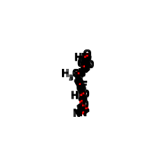 C[C@H]1CN(c2ccc3c(c2)C(=O)N(C2CCC(=O)NC2=O)C3=O)CCN1CC1CCN(c2ccc(C(=O)N[C@H]3CC[C@H](Oc4ccc(C#N)c5ncccc45)CC3)cc2F)CC1